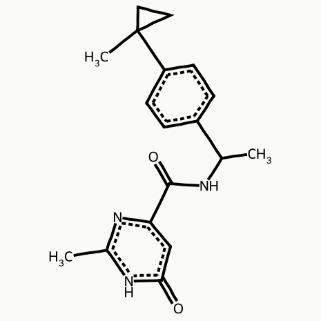 Cc1nc(C(=O)NC(C)c2ccc(C3(C)CC3)cc2)cc(=O)[nH]1